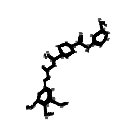 COc1cc(C=CC(=O)CC(N)c2ccc(C(=O)Nc3ccnc(N)c3)cc2)cc(OC)c1OC